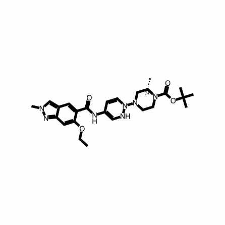 CCOc1cc2nn(C)cc2cc1C(=O)NC1=CNN(N2CCN(C(=O)OC(C)(C)C)[C@@H](C)C2)C=C1